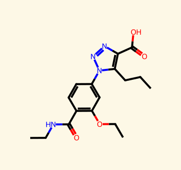 CCCc1c(C(=O)O)nnn1-c1ccc(C(=O)NCC)c(OCC)c1